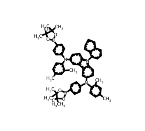 Cc1ccc(N(c2ccc(B3OC(C)(C)C(C)(C)O3)cc2)c2ccc3c(c2)c2cc(N(c4ccc(B5OC(C)(C)C(C)(C)O5)cc4)c4ccc(C)cc4C)ccc2n3-c2cccc3ccccc23)c(C)c1